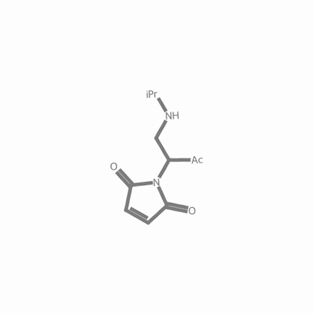 CC(=O)C(CNC(C)C)N1C(=O)C=CC1=O